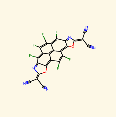 N#CC(C#N)=c1nc2c(F)c3c(F)c(F)c4c(F)c5nc(=C(C#N)C#N)oc5c5c(F)c(F)c(c2o1)c3c45